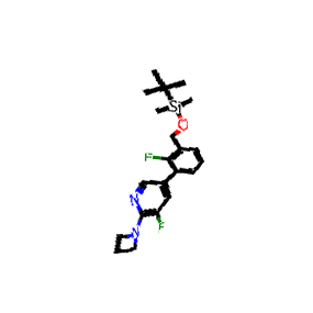 CC(C)(C)[Si](C)(C)OCc1cccc(-c2cnc(N3CCC3)c(F)c2)c1F